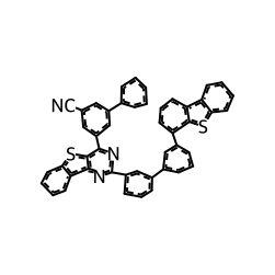 N#Cc1cc(-c2ccccc2)cc(-c2nc(-c3cccc(-c4cccc(-c5cccc6c5sc5ccccc56)c4)c3)nc3c2sc2ccccc23)c1